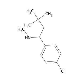 CNC(CC(C)(C)C)c1ccc(Cl)cc1